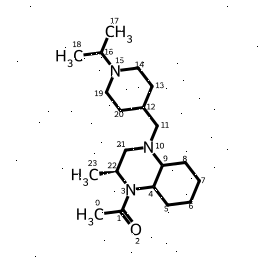 CC(=O)N1C2CCCCC2N(CC2CCN(C(C)C)CC2)C[C@@H]1C